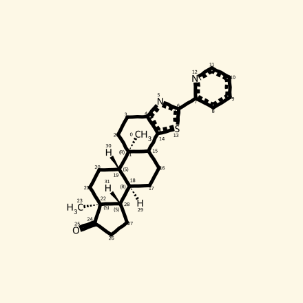 C[C@]12CCc3nc(-c4ccccn4)sc3C1CC[C@@H]1[C@@H]2CC[C@]2(C)C(=O)CC[C@@H]12